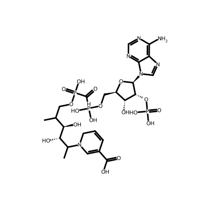 CC(COP(=O)(O)C(=O)[PH](O)(O)OC[C@H]1O[C@@H](n2cnc3c(N)ncnc32)[C@H](OP(=O)(O)O)[C@@H]1O)[C@@H](O)[C@@H](O)C(C)N1C=C(C(=O)O)C=CC1